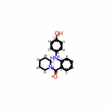 O=C(c1ccccc1Nc1ccc(O)cc1)N1CCCCC1